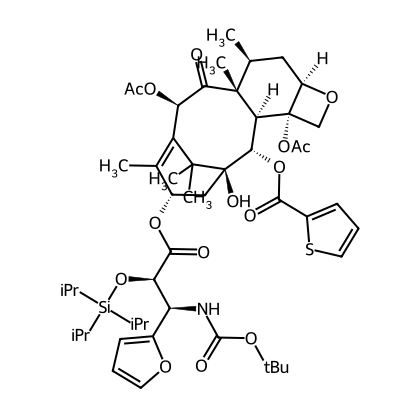 CC(=O)O[C@H]1C(=O)[C@@]2(C)[C@H]([C@H](OC(=O)c3cccs3)[C@]3(O)C[C@H](OC(=O)[C@H](O[Si](C(C)C)(C(C)C)C(C)C)[C@@H](NC(=O)OC(C)(C)C)c4ccco4)C(C)=C1C3(C)C)[C@]1(OC(C)=O)CO[C@@H]1C[C@@H]2C